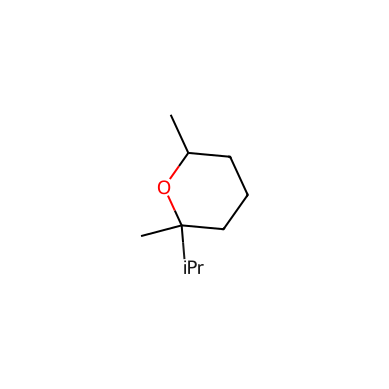 CC1CCCC(C)(C(C)C)O1